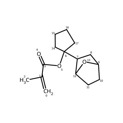 C=C(C)C(=O)OC1(C2CC3CCC2O3)CCCC1